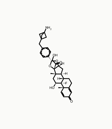 C[C@]12C=CC(=O)C=C1CC[C@H]1[C@@H]3C[C@H]4O[C@@H](c5ccc(CC67CC(N)(C6)C7)cc5)O[C@@]4(C(=O)CO)[C@@]3(C)C[C@H](O)[C@@]12F